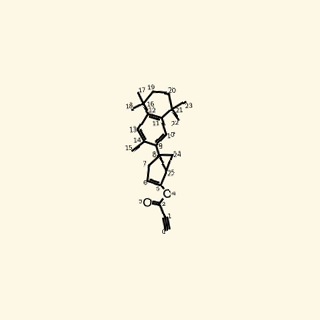 C#CC(=O)OC1=CCC2(c3cc4c(cc3C)C(C)(C)CCC4(C)C)CC12